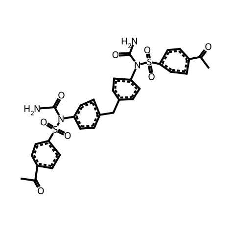 CC(=O)c1ccc(S(=O)(=O)N(C(N)=O)c2ccc(Cc3ccc(N(C(N)=O)S(=O)(=O)c4ccc(C(C)=O)cc4)cc3)cc2)cc1